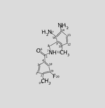 Cc1ccc(C(=O)NCc2c(C)ccc(N)c2N)cc1F